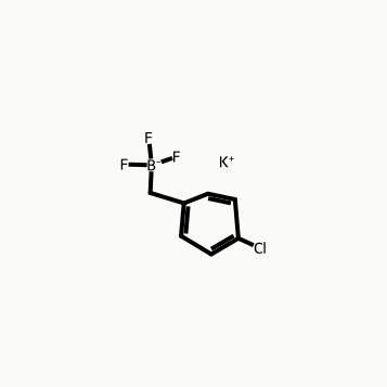 F[B-](F)(F)Cc1ccc(Cl)cc1.[K+]